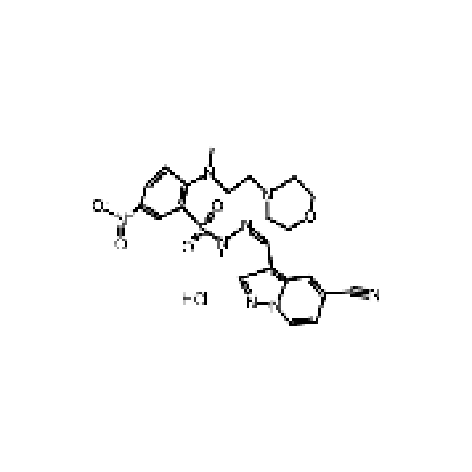 CN(CCN1CCOCC1)c1ccc([N+](=O)[O-])cc1S(=O)(=O)N(C)/N=C\c1cnn2ccc(C#N)cc12.Cl